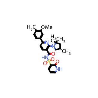 COc1cc(-c2ccc(C(=O)NS(=O)(=O)c3ccc[nH]c3=O)c(N3C[C@@H](C)CC3(C)C)n2)ccc1C